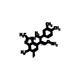 Cc1nc2c(P)c(F)cc(/C(=C/ON)N(N)c3ccc(C)c(C)c3)c2[nH]1